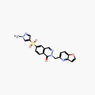 Cn1cc(S(=O)(=O)c2ccc3c(=O)n(Cc4ccc5occc5n4)ncc3c2)cn1